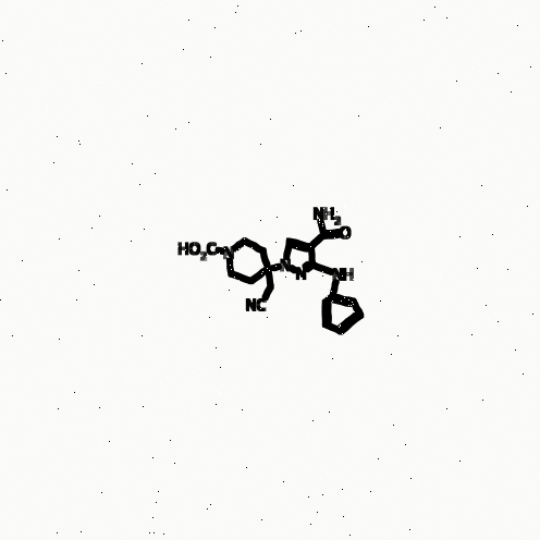 N#CCC1(n2cc(C(N)=O)c(Nc3ccccc3)n2)CCN(C(=O)O)CC1